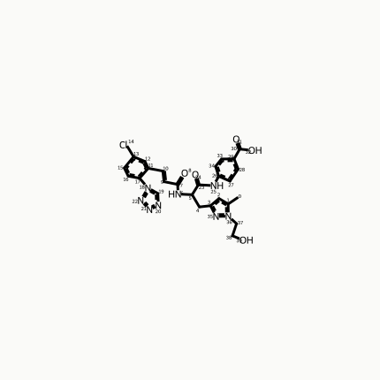 Cc1cc(CC(NC(=O)/C=C/c2cc(Cl)ccc2-n2cnnn2)C(=O)Nc2ccc(C(=O)O)cc2)nn1CCO